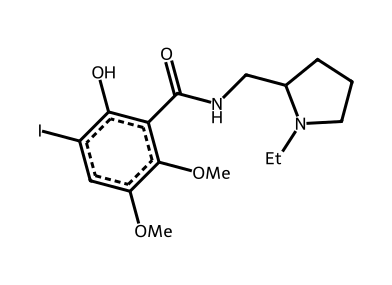 CCN1CCCC1CNC(=O)c1c(O)c(I)cc(OC)c1OC